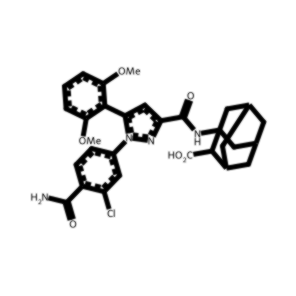 COc1cccc(OC)c1-c1cc(C(=O)NC23CC4CC(CC(C4)C2C(=O)O)C3)nn1-c1ccc(C(N)=O)c(Cl)c1